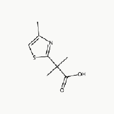 Cc1csc(C(C)(C)C(=O)O)n1